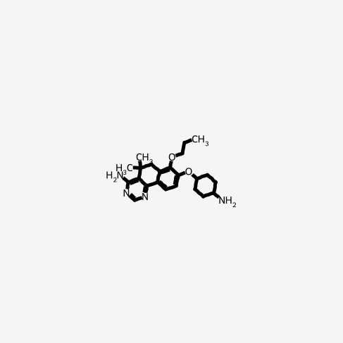 CCCOc1c(OC2CCC(N)CC2)ccc2c1CC(C)(C)c1c(N)ncnc1-2